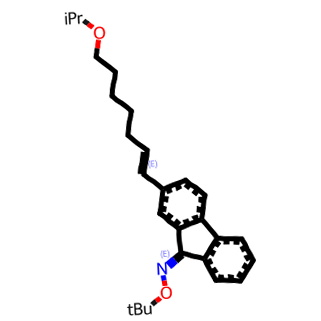 CC(C)OCCCCC/C=C/c1ccc2c(c1)/C(=N/OC(C)(C)C)c1ccccc1-2